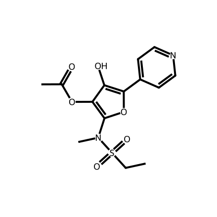 CCS(=O)(=O)N(C)c1oc(-c2ccncc2)c(O)c1OC(C)=O